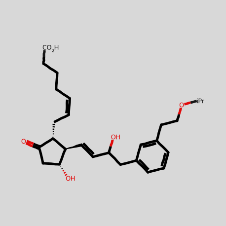 CC(C)OCCc1cccc(CC(O)/C=C/[C@H]2[C@H](O)CC(=O)[C@@H]2C/C=C\CCCC(=O)O)c1